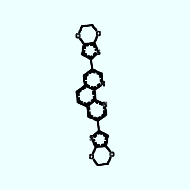 c1nc2c(ccc3cc(-c4cc5c(s4)OCCO5)cnc32)cc1-c1cc2c(s1)OCCO2